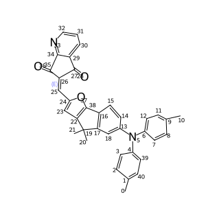 Cc1ccc(N(c2ccc(C)cc2)c2ccc3c(c2)C(C)(C)c2cc(/C=C4\C(=O)c5cccnc5C4=O)oc2-3)cc1